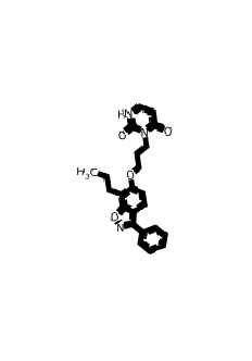 CCCc1c(OCCCn2c(=O)cc[nH]c2=O)ccc2c(-c3ccccc3)noc12